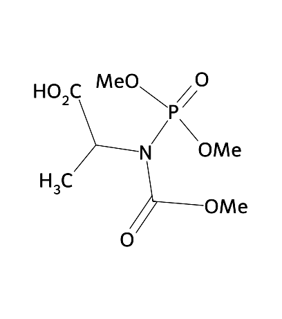 COC(=O)N(C(C)C(=O)O)P(=O)(OC)OC